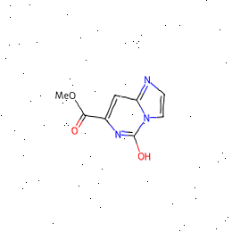 COC(=O)c1cc2nccn2c(O)n1